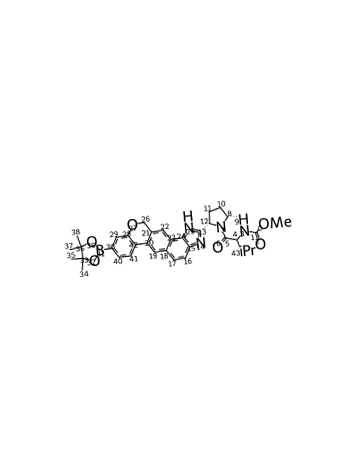 COC(=O)NC(C(=O)N1[C@@H](C)CC[C@H]1c1nc2ccc3cc4c(cc3c2[nH]1)COc1cc(B2OC(C)(C)C(C)(C)O2)ccc1-4)C(C)C